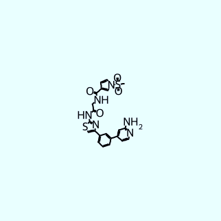 CS(=O)(=O)n1ccc(C(=O)NCC(=O)Nc2nc(-c3cccc(-c4ccnc(N)c4)c3)cs2)c1